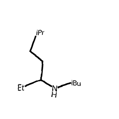 CCC(C)NC(CC)CCC(C)C